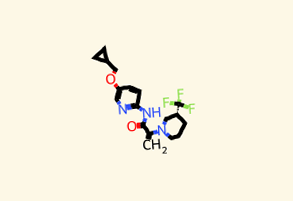 C=C(C(=O)Nc1ccc(OCC2CC2)cn1)N1CCC[C@@H](C(F)(F)F)C1